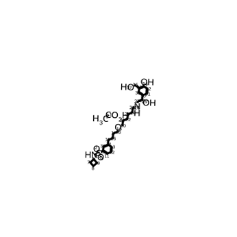 CC(=O)O.O=S(=O)(NC1CCC1)c1cccc(CCCCOCCCCCCNC[C@H](O)c2ccc(O)c(CO)c2)c1